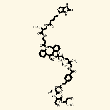 CC(C)CC(NC(=O)[C@H](CC(C)C)NC(=O)OCc1ccc(C(=O)NCC(C)(C)COCC(C)(C)n2nnc3c2-c2ccccc2CN(C(=O)CCNC(=O)C(CNC(=O)CCCC[C@@H]2SCC4NC(=O)NC42)S(=O)(=O)O)c2ccccc2-3)cc1)C(=O)N[C@H](C=O)CC(C)C